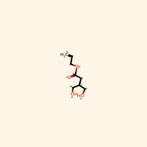 C=CCOC(=O)CC(CO)CO